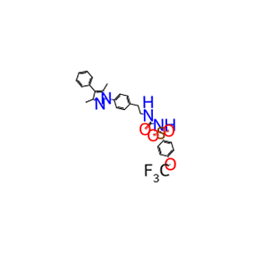 Cc1nn(-c2ccc(CCNC(=O)NS(=O)(=O)c3ccc(OC(F)(F)F)cc3)cc2)c(C)c1-c1ccccc1